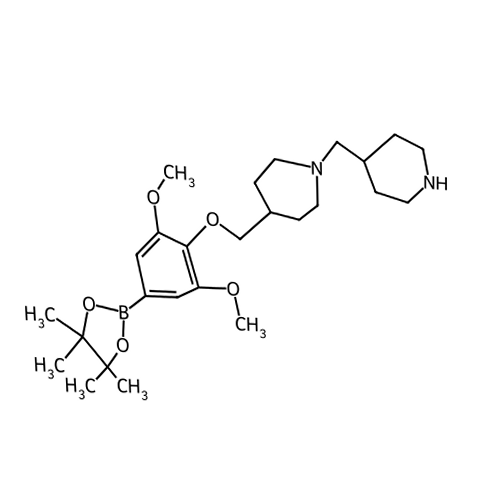 COc1cc(B2OC(C)(C)C(C)(C)O2)cc(OC)c1OCC1CCN(CC2CCNCC2)CC1